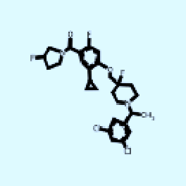 CC(c1cc(Cl)cc(Cl)c1)N1CCC(F)(COc2cc(F)c(C(=O)N3CCC(F)C3)cc2C2CC2)CC1